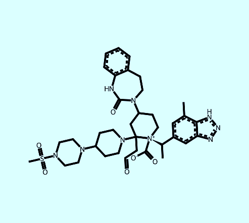 Cc1cc(C(C)[N@+]2(C(=O)[O-])CCC(N3CCc4ccccc4NC3=O)CC2(CC=O)N2CCC(N3CCN(S(C)(=O)=O)CC3)CC2)cc2nn[nH]c12